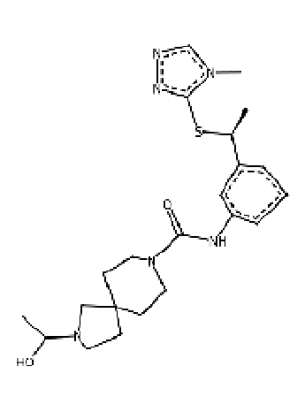 CC(O)N1CCC2(CCN(C(=O)Nc3cccc([C@H](C)Sc4nncn4C)c3)CC2)C1